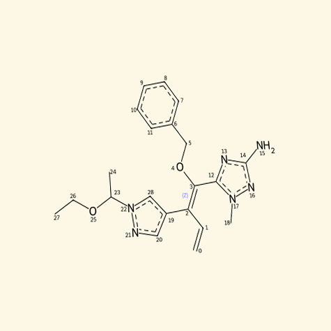 C=C/C(=C(/OCc1ccccc1)c1nc(N)nn1C)c1cnn(C(C)OCC)c1